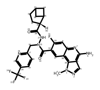 Cn1ncc2c(N)nc3cc(F)c(C(=O)N(Cc4ccc(C(F)(F)F)cn4)NC(=O)[C@@H]4CCC5CC4C5)cc3c21